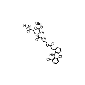 CC(C)(C)OC(=O)N[C@@H](CCC(N)=O)C(=O)NCCOC(=O)Cc1ccccc1Nc1c(Cl)cccc1Cl